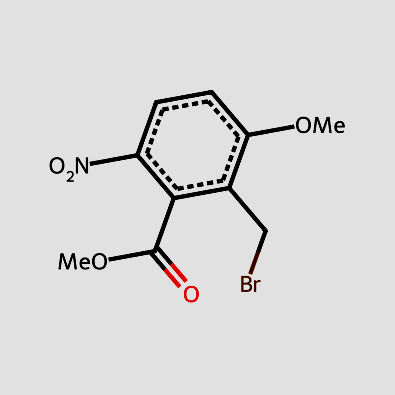 COC(=O)c1c([N+](=O)[O-])ccc(OC)c1CBr